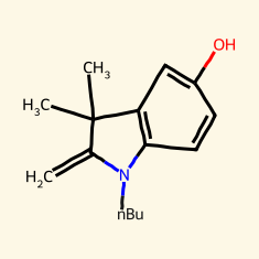 C=C1N(CCCC)c2ccc(O)cc2C1(C)C